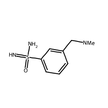 CNCc1cccc(S(=N)(N)=O)c1